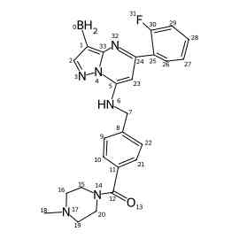 Bc1cnn2c(NCc3ccc(C(=O)N4CCN(C)CC4)cc3)cc(-c3ccccc3F)nc12